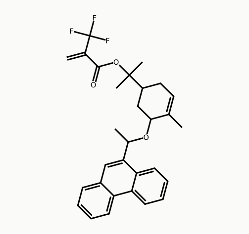 C=C(C(=O)OC(C)(C)C1CC=C(C)C(OC(C)c2cc3ccccc3c3ccccc23)C1)C(F)(F)F